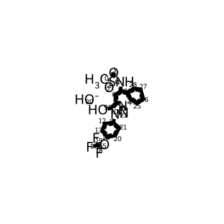 CS(=O)(=O)Nc1cc2c(O)n(-c3ccc(OC(F)(F)F)cc3)n[n+]2c2ccccc12.[OH-]